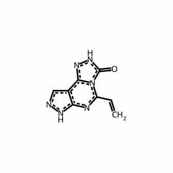 C=Cc1nc2[nH]ncc2c2n[nH]c(=O)n12